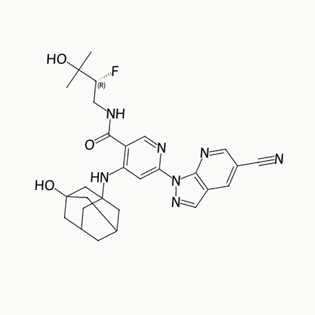 CC(C)(O)[C@H](F)CNC(=O)c1cnc(-n2ncc3cc(C#N)cnc32)cc1NC12CC3CC(CC(O)(C3)C1)C2